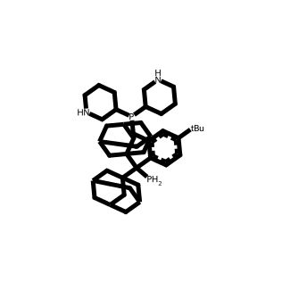 CC(C)(C)c1ccc(C(P)(C23CC4CC(CC(C4)C2)C3)C23CC4CC(CC(C4)C2)C3)c(CP(C2CCCNC2)C2CCCNC2)c1